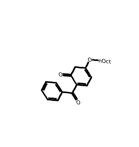 CCCCCCCCOC1=CC=C(C(=O)c2ccccc2)C(=O)C1